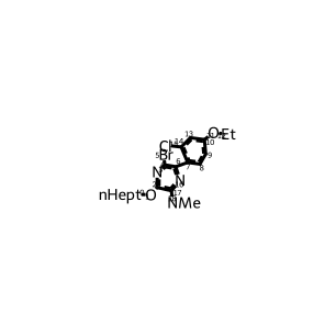 CCCCCCCOc1nc(Br)c(-c2ccc(OCC)cc2Cl)nc1NC